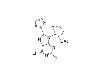 CC(=O)OC1CCOC1n1c(-c2ccco2)nc2c(Cl)nc(I)nc21